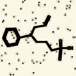 C=CCN(CCCS(=O)(=O)O)c1ccccc1